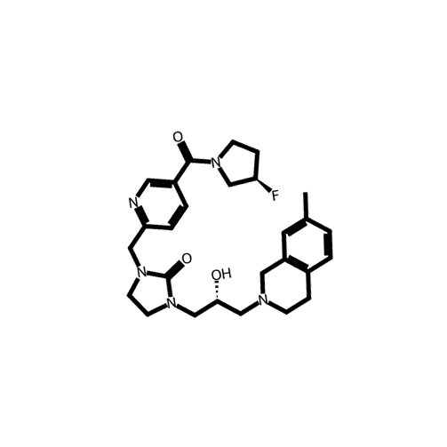 Cc1ccc2c(c1)CN(C[C@@H](O)CN1CCN(Cc3ccc(C(=O)N4CC[C@@H](F)C4)cn3)C1=O)CC2